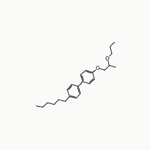 CCCCCCc1ccc(-c2ccc(OCC(C)OCCC)cc2)cc1